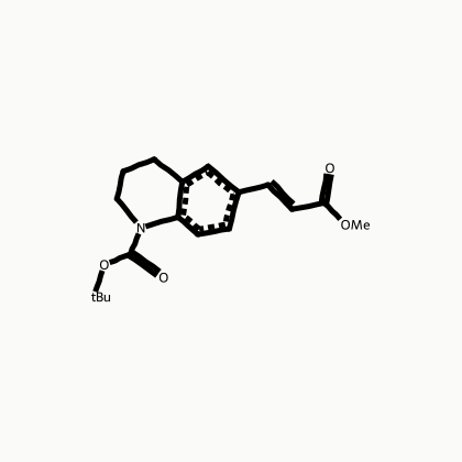 COC(=O)/C=C/c1ccc2c(c1)CCCN2C(=O)OC(C)(C)C